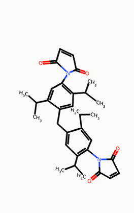 CC(C)c1cc(N2C(=O)C=CC2=O)c(C(C)C)cc1Cc1cc(C(C)C)c(N2C(=O)C=CC2=O)cc1C(C)C